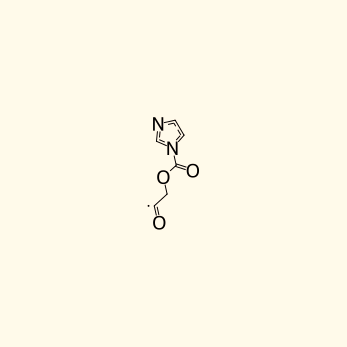 O=[C]COC(=O)n1ccnc1